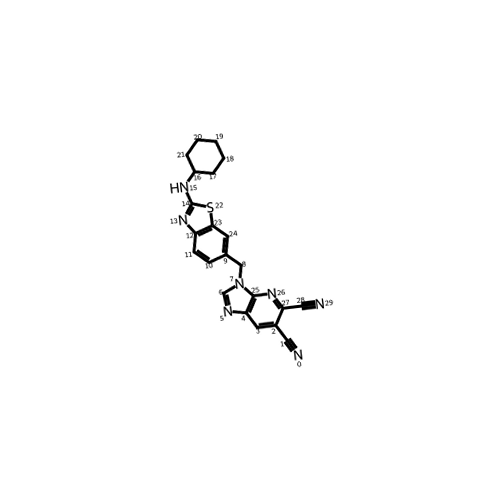 N#Cc1cc2ncn(Cc3ccc4nc(NC5CCCCC5)sc4c3)c2nc1C#N